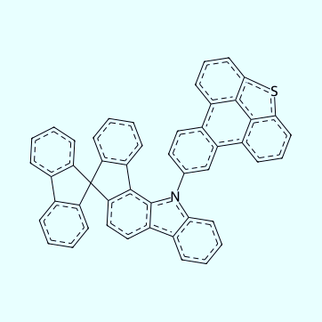 c1ccc2c(c1)-c1ccccc1C21c2ccccc2-c2c1ccc1c3ccccc3n(-c3ccc4c(c3)c3cccc5sc6cccc4c6c53)c21